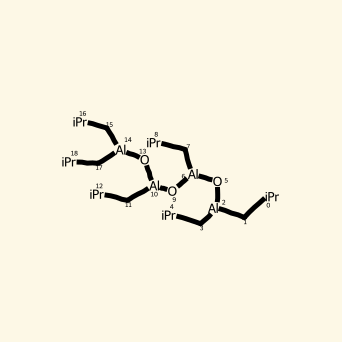 CC(C)[CH2][Al]([CH2]C(C)C)[O][Al]([CH2]C(C)C)[O][Al]([CH2]C(C)C)[O][Al]([CH2]C(C)C)[CH2]C(C)C